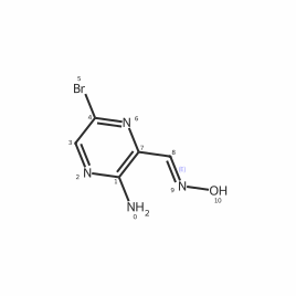 Nc1ncc(Br)nc1/C=N/O